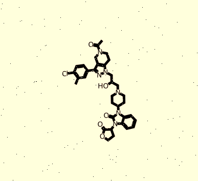 CC(=O)N1CCc2c(c(-c3ccc(Cl)c(C)c3)nn2CC(O)CN2CCC(n3c(=O)n(C4CCOC4=O)c4ccccc43)CC2)C1